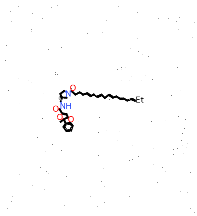 CCC=CCC=CCC=CCC=CCC=CCCCC(=O)N1CC[C@H](CNC(=O)C2=CC(=O)C(C)(c3ccccc3)O2)C1